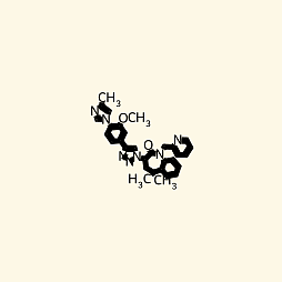 COc1cc(-c2cn(C3CC(C)(C)C4C=CC=CC4N(Cc4ccccn4)C3=O)nn2)ccc1-n1cnc(C)c1